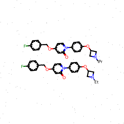 CC(C)N1CC(Oc2ccc(-n3ccc(OCc4ccc(F)cc4)cc3=O)cc2)C1.CCN1CC(Oc2ccc(-n3ccc(OCc4ccc(F)cc4)cc3=O)cc2)C1